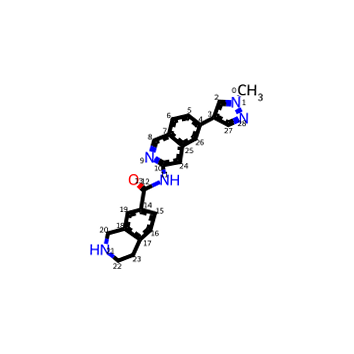 Cn1cc(-c2ccc3cnc(NC(=O)c4ccc5c(c4)CNCC5)cc3c2)cn1